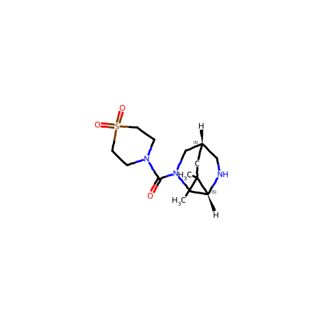 CC1(C)C[C@H]2CN[C@@H]1CN(C(=O)N1CCS(=O)(=O)CC1)C2